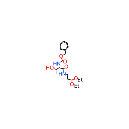 CCOC(CCNC(=O)[C@@H](NC(=O)OCc1ccccc1)[C@H](C)O)OCC